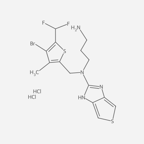 Cc1c(CN(CCCN)c2nc3cscc3[nH]2)sc(C(F)F)c1Br.Cl.Cl